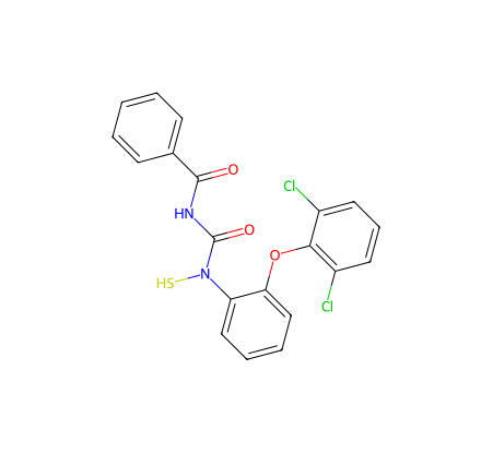 O=C(NC(=O)N(S)c1ccccc1Oc1c(Cl)cccc1Cl)c1ccccc1